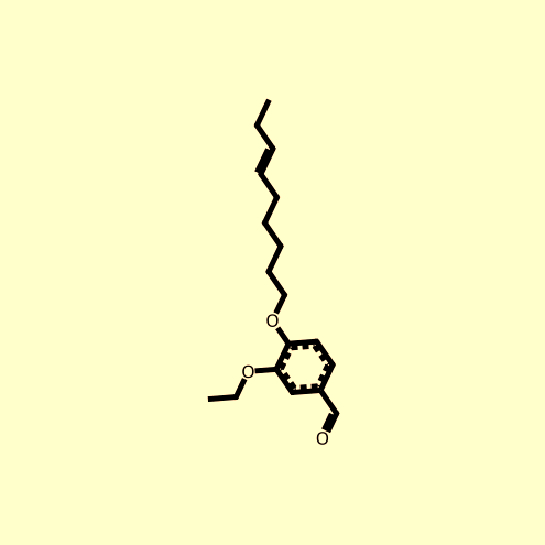 CCC=CCCCCCOc1ccc(C=O)cc1OCC